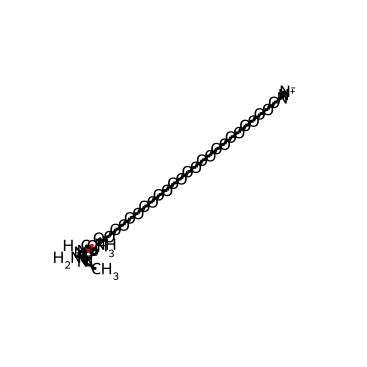 CCCCc1nc2c(N)nnc(OC(C)C)c2n1C[C@H]1CC[C@H](CNC(=O)CCOCCOCCOCCOCCOCCOCCOCCOCCOCCOCCOCCOCCOCCOCCOCCOCCOCCOCCOCCOCCOCCOCCOCCOCCN=[N+]=[N-])CC1